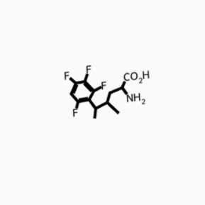 CC(CC(N)C(=O)O)C(C)c1c(F)cc(F)c(F)c1F